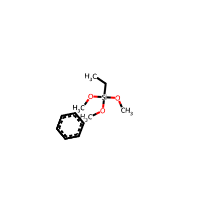 CC[Si](OC)(OC)OC.c1ccccc1